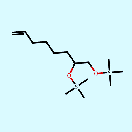 C=CCCCCC(CO[Si](C)(C)C)O[Si](C)(C)C